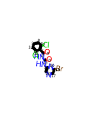 O=C(NC(=O)c1c(Cl)cccc1Cl)Nc1cncc(Br)n1